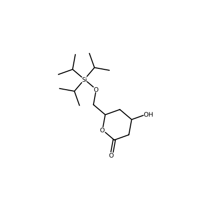 CC(C)[Si](OCC1CC(O)CC(=O)O1)(C(C)C)C(C)C